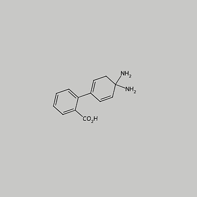 NC1(N)C=CC(c2ccccc2C(=O)O)=CC1